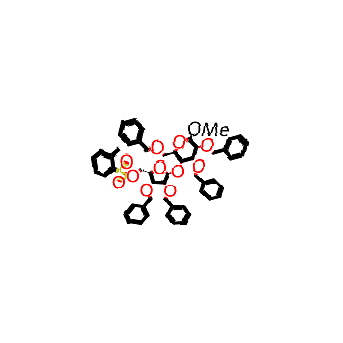 CO[C@H]1O[C@H](COCc2ccccc2)[C@@H](O[C@@H]2O[C@@H](COS(=O)(=O)c3ccccc3C)[C@@H](OCc3ccccc3)[C@@H]2OCc2ccccc2)[C@H](OCc2ccccc2)[C@@H]1OCc1ccccc1